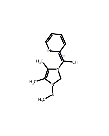 CSN1CN(/C(C)=C2/C=CC=CN2)C(C)=C1C